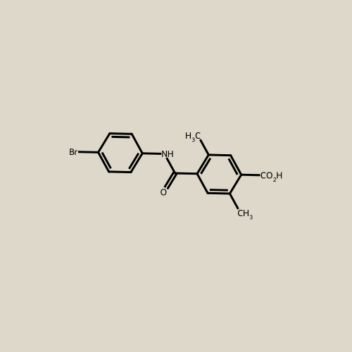 Cc1cc(C(=O)Nc2ccc(Br)cc2)c(C)cc1C(=O)O